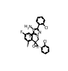 Nn1c(-c2ccccc2Cl)nn(C[C@]2(c3ccc(F)cc3F)O[C@H]2c2ccccc2Cl)c1=S